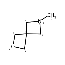 CN1CC2(COC2)C1